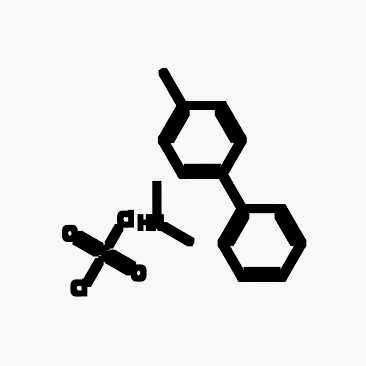 CNC.Cc1ccc(-c2ccccc2)cc1.O=S(=O)(Cl)Cl